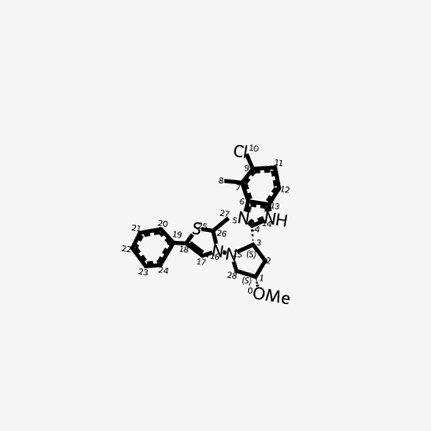 CO[C@H]1C[C@@H](c2nc3c(C)c(Cl)ccc3[nH]2)N(N2[C]=C(c3ccccc3)SC2C)C1